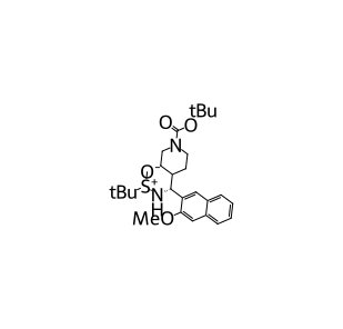 COc1cc2ccccc2cc1[C@H](N[S+]([O-])C(C)(C)C)C1CCN(C(=O)OC(C)(C)C)CC1